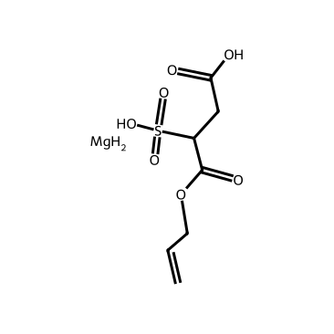 C=CCOC(=O)C(CC(=O)O)S(=O)(=O)O.[MgH2]